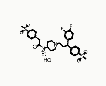 CCN(C(=O)Cc1ccc(S(C)(=O)=O)cc1)C1CCN(CCC(c2ccc(S(C)(=O)=O)cc2)c2ccc(F)c(F)c2)CC1.Cl